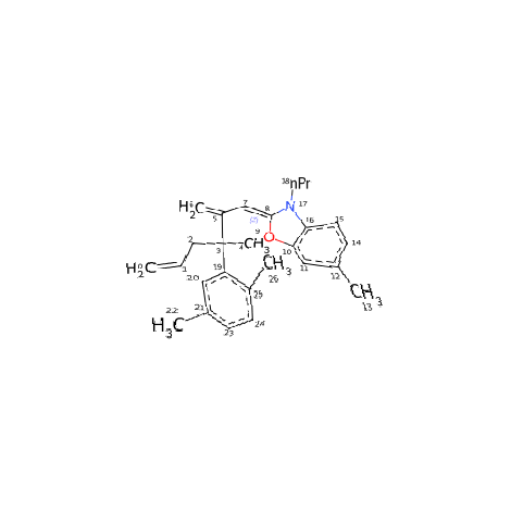 C=CCC(C)(C(=C)/C=C1\Oc2cc(C)ccc2N1CCC)c1cc(C)ccc1C